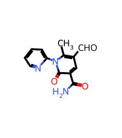 Cc1c(C=O)cc(C(N)=O)c(=O)n1-c1ccccn1